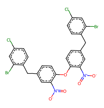 O=[N+]([O-])c1cc(Cc2ccc(Cl)cc2Br)ccc1Oc1ccc(Cc2ccc(Cl)cc2Br)cc1[N+](=O)[O-]